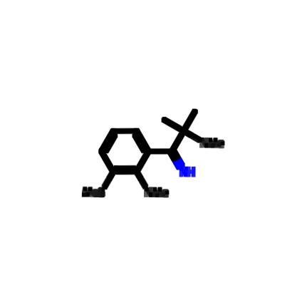 CNc1c(SC)cccc1C(=N)C(C)(C)NC